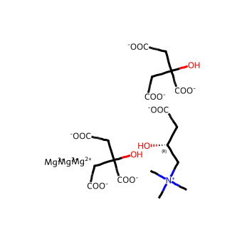 C[N+](C)(C)C[C@H](O)CC(=O)[O-].O=C([O-])CC(O)(CC(=O)[O-])C(=O)[O-].O=C([O-])CC(O)(CC(=O)[O-])C(=O)[O-].[Mg+2].[Mg+2].[Mg+2]